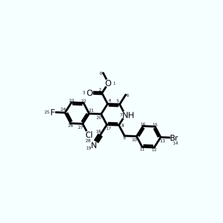 COC(=O)C1=C(C)NC(Cc2ccc(Br)cc2)=C(C#N)C1c1ccc(F)cc1Cl